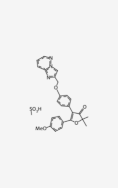 COc1ccc(C2=C(c3ccc(OCc4cn5ncccc5n4)cc3)C(=O)C(C)(C)O2)cc1.CS(=O)(=O)O